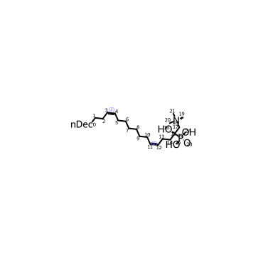 CCCCCCCCCCCC/C=C\CCCCCC/C=C\CCC(O)(C[N+](C)(C)C)P(=O)(O)O